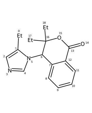 CCc1cncn1C1c2ccccc2C(=O)OC1(CC)CC